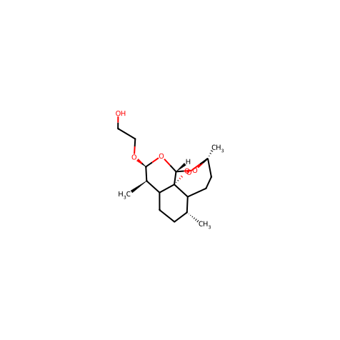 C[C@@H]1CCC2[C@@H](C)[C@@H](OCCO)O[C@@H]3O[C@]4(C)CCC1[C@@]23OO4